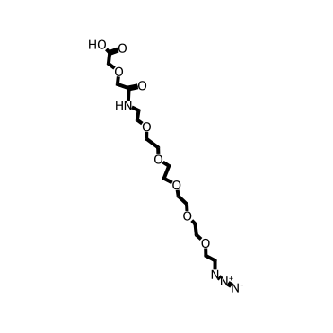 [N-]=[N+]=NCCOCCOCCOCCOCCOCCNC(=O)COCC(=O)O